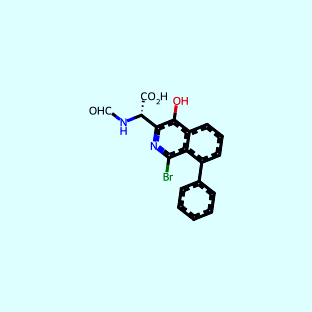 O=CN[C@H](C(=O)O)c1nc(Br)c2c(-c3ccccc3)cccc2c1O